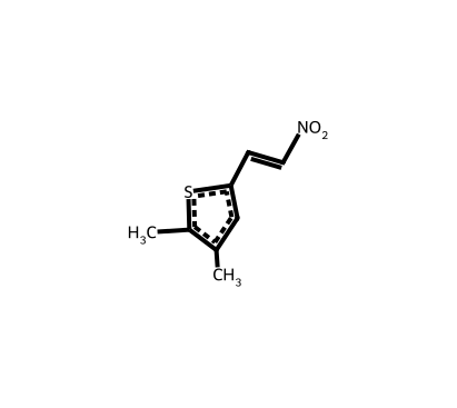 Cc1cc(C=C[N+](=O)[O-])sc1C